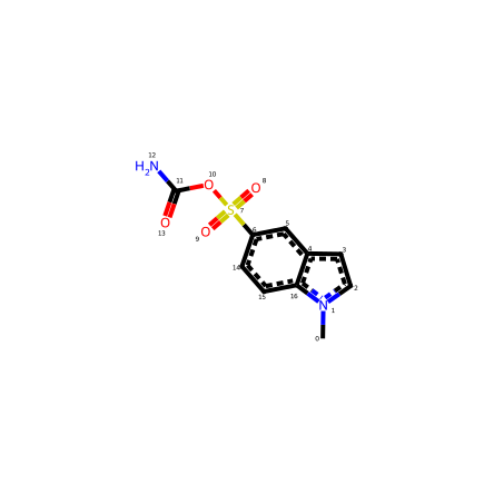 Cn1ccc2cc(S(=O)(=O)OC(N)=O)ccc21